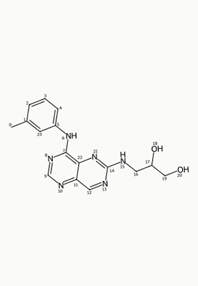 Cc1cccc(Nc2ncnc3cnc(NCC(O)CO)nc23)c1